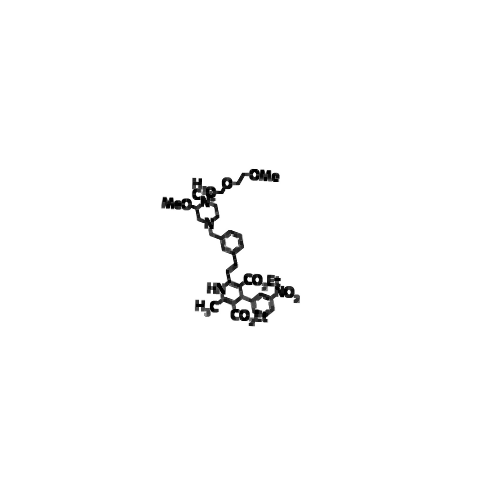 CCOC(=O)C1=C(C)NC(C=Cc2cccc(CN3CC[N+](C)(OCOCCOC)C(OC)C3)c2)=C(C(=O)OCC)C1c1cccc([N+](=O)[O-])c1